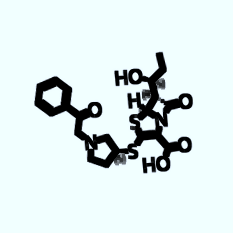 CC[C@H](O)[C@@H]1C(=O)N2C(C(=O)O)=C(S[C@H]3CCN(CC(=O)c4ccccc4)C3)S[C@H]12